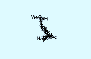 CON(S)OCCCOC1CCN(c2ccc(-n3nc(C(C)=O)cc3-c3ccc(C#N)c(F)c3)cc2)CC1